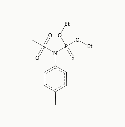 CCOP(=S)(OCC)N(c1ccc(C)cc1)S(C)(=O)=O